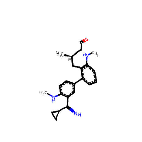 CNc1ccc(-c2cccc(NC)c2C[C@@H](C)CC=O)cc1C(=N)C1CC1